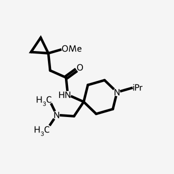 COC1(CC(=O)NC2(CN(C)C)CCN(C(C)C)CC2)CC1